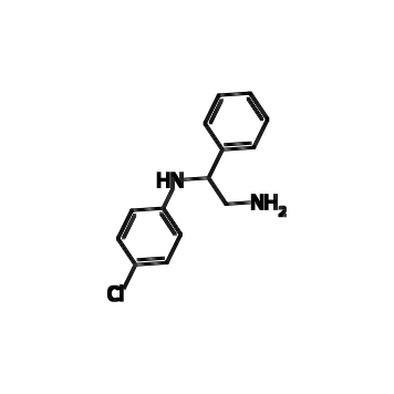 NCC(Nc1ccc(Cl)cc1)c1ccccc1